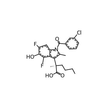 CCCC[C@@](C)(C(=O)O)c1c(C)n(C(=O)c2cccc(Cl)c2)c2cc(F)c(O)c(F)c12